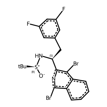 CC(C)(C)[S@+]([O-])N[C@@H](Cc1cc(F)cc(F)c1)c1nc(Br)c2ccccc2c1Br